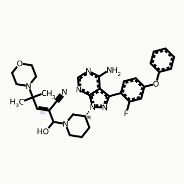 CC(C)(/C=C(\C#N)C(O)N1CCC[C@@H](n2nc(-c3ccc(Oc4ccccc4)cc3F)c3c(N)ncnc32)C1)N1CCOCC1